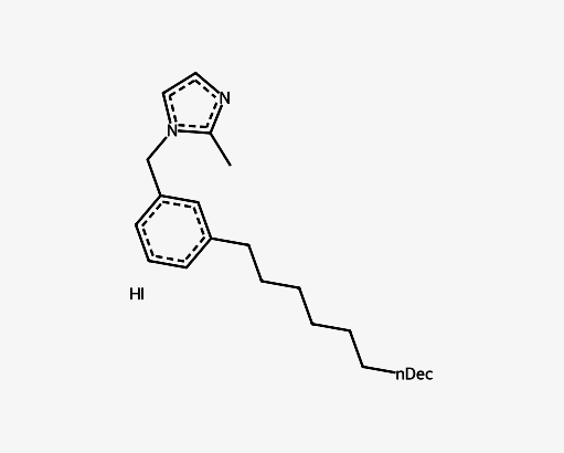 CCCCCCCCCCCCCCCCc1cccc(Cn2ccnc2C)c1.I